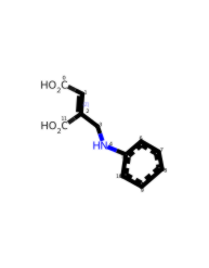 O=C(O)/C=C(/CNc1ccccc1)C(=O)O